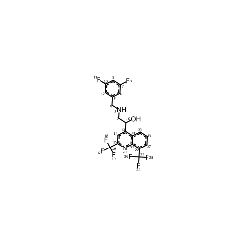 OC(CNCc1cc(F)cc(F)c1)c1cc(C(F)(F)F)nc2c(C(F)(F)F)cccc12